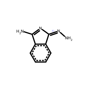 N/N=C1/N=C(N)c2ccccc21